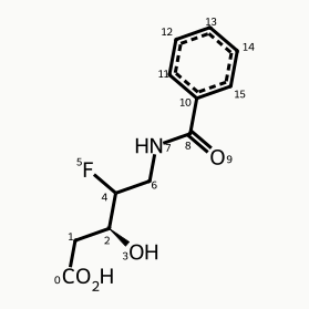 O=C(O)C[C@H](O)C(F)CNC(=O)c1ccccc1